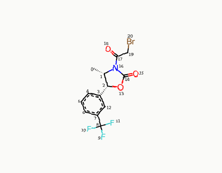 C[C@H]1[C@@H](c2cccc(C(F)(F)F)c2)OC(=O)N1C(=O)CBr